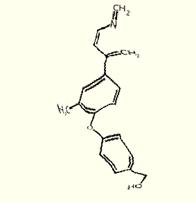 C=N/C=C\C(=C)c1ccc(Oc2ccc(CO)cc2)c(C)c1